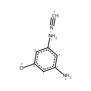 C#N.Nc1cc(N)cc(Cl)c1